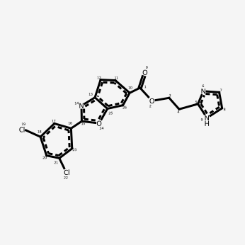 O=C(OCCc1ncc[nH]1)c1ccc2nc(-c3cc(Cl)cc(Cl)c3)oc2c1